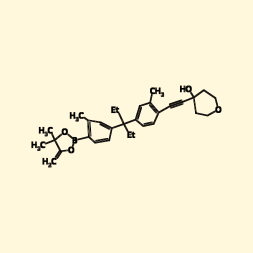 C=C1OB(c2ccc(C(CC)(CC)c3ccc(C#CC4(O)CCOCC4)c(C)c3)cc2C)OC1(C)C